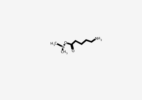 CN(C)OC(=O)CCCCN